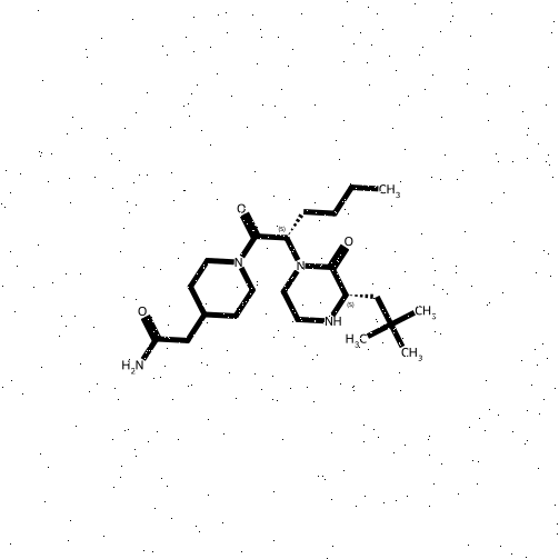 CCCC[C@@H](C(=O)N1CCC(CC(N)=O)CC1)N1CCN[C@@H](CC(C)(C)C)C1=O